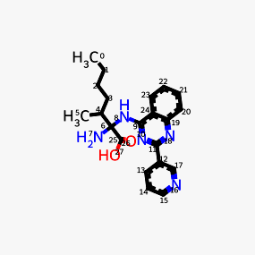 CCCCC(C)C(N)(Nc1nc(-c2cccnc2)nc2ccccc12)C(=O)O